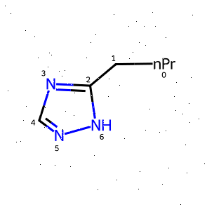 [CH2]CCCc1ncn[nH]1